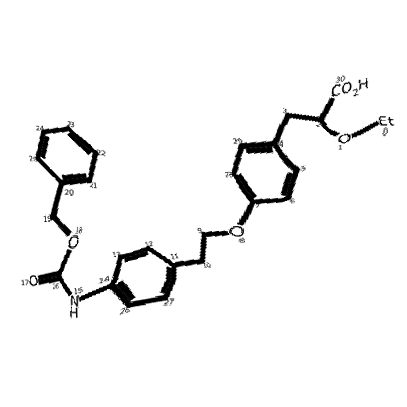 CCOC(Cc1ccc(OCCc2ccc(NC(=O)OCc3ccccc3)cc2)cc1)C(=O)O